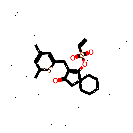 C=CS(=O)(=O)OC1=C(CC2=CC(C)=CC(C)S2)C(=O)CC12CCCCC2